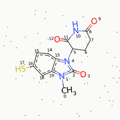 Cn1c(=O)n(C2CCC(=O)NC2=O)c2ccc(S)cc21